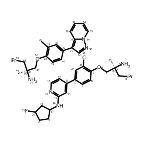 CC(C)C[C@](C)(N)COc1ccc(-c2ccnc(NC3CCC(F)C3)c2)cc1Cl.Cc1cc(-c2cnn3ccccc23)ccc1OC[C@@](C)(N)CC(C)C